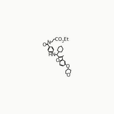 CCOC(=O)CCN(C)C(=O)c1ccc(NC(c2oc3ccc(OC4CCOCC4)cc3c2C)C2CCCCC2)cc1